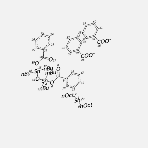 CCCCCCC[CH2][Sn+2][CH2]CCCCCCC.CCC[CH2][Sn]([CH2]CCC)([O]C(=O)c1ccccc1)[O][Sn]([CH2]CCC)([CH2]CCC)[O]C(=O)c1ccccc1.O=C([O-])c1ccccc1.O=C([O-])c1ccccc1